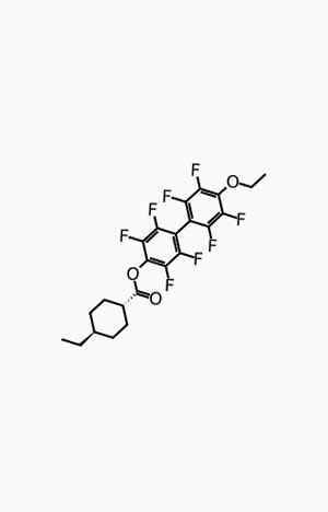 CCOc1c(F)c(F)c(-c2c(F)c(F)c(OC(=O)[C@H]3CC[C@H](CC)CC3)c(F)c2F)c(F)c1F